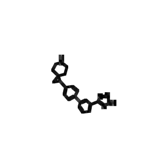 c1cc(-c2ccc(C3CC34CCNCC4)cc2)cc(-c2nn[nH]n2)c1